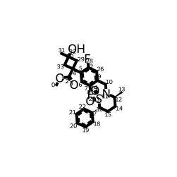 COC(=O)C1(c2cc(F)c(CN3[C@@H](C)CC[C@H](c4ccccc4)S3(=O)=O)cc2F)CC(C)(O)C1